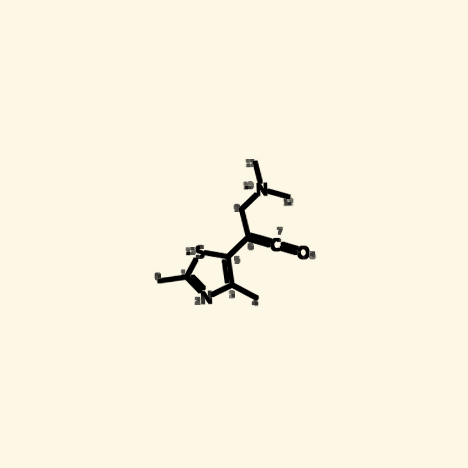 Cc1nc(C)c(C(=C=O)CN(C)C)s1